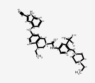 CC[C@@H]1CN(C(=O)Nc2cnc(CN3CCN(CC)CC3)c(C(F)(F)F)c2)Cc2cc(Oc3ccnc4[nH]c(C#N)cc34)cnc21